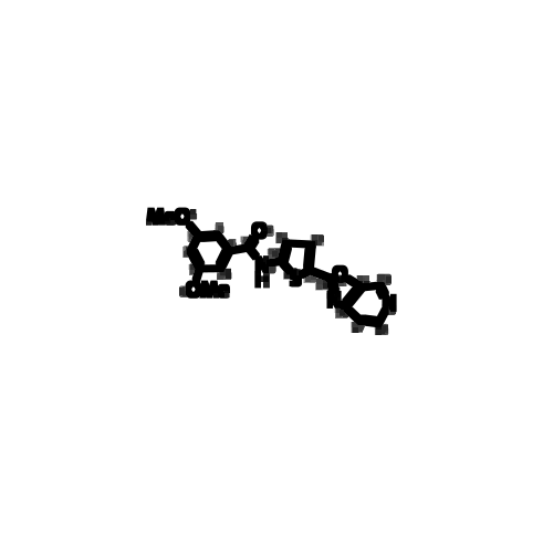 COc1cc(OC)cc(C(=O)Nc2ccc(-c3nc4ccncc4o3)s2)c1